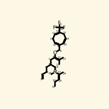 C=CCCC(CC(OCC1=C/C/C=C(/C(F)(F)F)C/C=C\1)=C(C)C)CN(C)/C(C)=C\CC